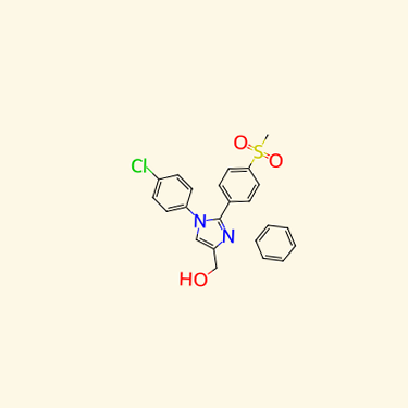 CS(=O)(=O)c1ccc(-c2nc(CO)cn2-c2ccc(Cl)cc2)cc1.c1ccccc1